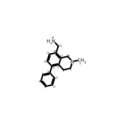 CN1CCc2c(-c3ccccc3)ccc(CN)c2C1